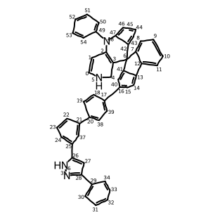 C1=CC2=C(CN1)C1(c3ccccc3-c3ccc(-c4ccc(-c5cccc(-c6cc(-c7ccccc7)n[nH]6)c5)cc4)cc31)c1ccccc1N2c1ccccc1